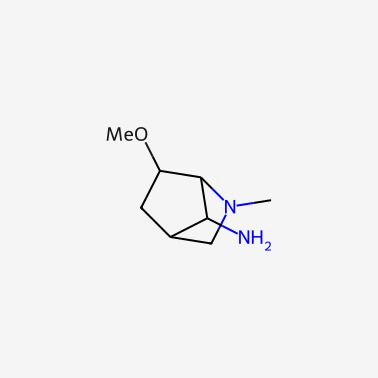 COC1CC2CN(C)C1C2N